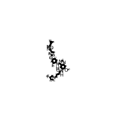 COc1cc2ncnc(Nc3ccc(Oc4nc(-c5nnc(C6CC6)o5)cs4)cc3F)c2cc1NC(=O)/C=C/CN1CC[C@@H](F)C1